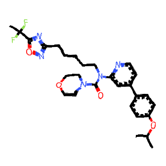 CC(C)Oc1ccc(-c2ccnc(N(CCCCCc3noc(C(C)(F)F)n3)C(=O)N3CCOCC3)c2)cc1